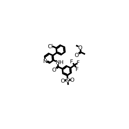 COC(C)=O.CS(=O)(=O)c1cc(C(=O)Nc2cnccc2-c2ccccc2Cl)cc(C(F)(F)F)c1